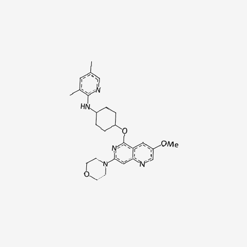 COc1cnc2cc(N3CCOCC3)nc(OC3CCC(Nc4ncc(C)cc4C)CC3)c2c1